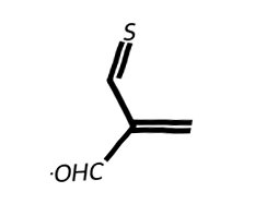 C=C([C]=O)C=S